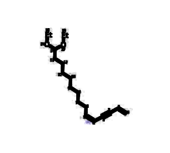 C=CC#C/C=C\CCCCCCCCC(OCC)OCC